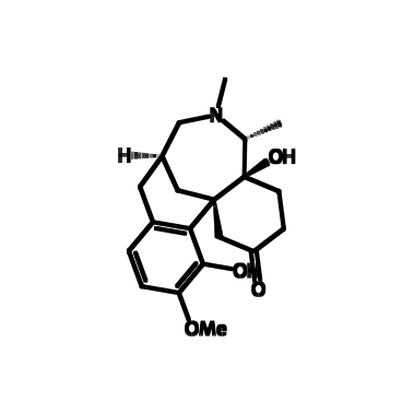 COc1ccc2c(c1O)[C@@]13CC(=O)CC[C@@]1(O)[C@@H](C)N(C)C[C@H](C2)C3